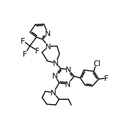 CCC1CCCCN1c1nc(-c2ccc(F)c(Cl)c2)nc(N2CCN(c3ncccc3C(F)(F)F)CC2)n1